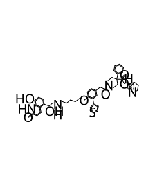 O=C(Cc1ccc(OCCCCCNCC(O)c2ccc(O)c3[nH]c(=O)ccc23)c(-c2ccsc2)c1)N1CCC(C(=O)O[C@H]2CN3CCC2CC3)(c2ccccc2)CC1